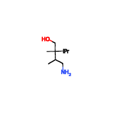 CC(C)C(C)(CO)C(C)CN